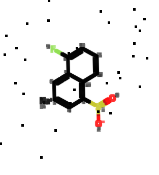 O=S([O-])c1cccc2c(F)cccc12.[Na+]